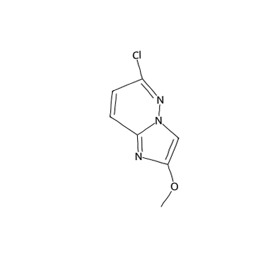 COc1cn2nc(Cl)ccc2n1